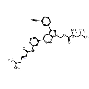 CC(C)C[C@H](N)C(=O)OCn1cc(-c2cccc(C#N)c2)c2cc(-c3cccc(NC(=O)/C=C/CN(C)C)c3)cnc21